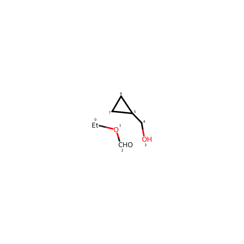 CCOC=O.OCC1CC1